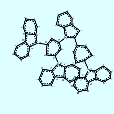 c1ccc2c(c1)cc(-c1ccc(-n3c4ccccc4c4ccccc43)cc1)n2-c1cc(-n2c3ccccc3c3ccccc32)cc(-n2c3ccccc3c3ccccc32)c1